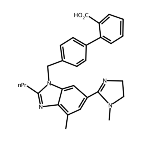 CCCc1nc2c(C)cc(C3=NCCN3C)cc2n1Cc1ccc(-c2ccccc2C(=O)O)cc1